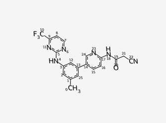 Cc1cc(Nc2nccc(C(F)(F)F)n2)cc(-c2ccc(NC(=O)CC#N)nc2)c1